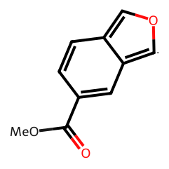 COC(=O)c1ccc2co[c]c2c1